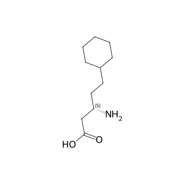 N[C@@H](CCC1CCCCC1)CC(=O)O